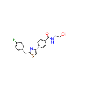 O=C(NCCO)c1ccc(-c2csc(Cc3ccc(F)cc3)n2)cc1